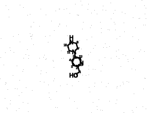 OCc1ccc(N2CCNCC2)cn1